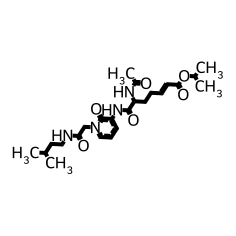 CC(=O)NC(CCC=CC(=O)OC(C)C)C(=O)Nc1cccn(CC(=O)NCCC(C)C)c1=O